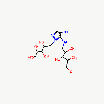 Nc1cnn(CC(O)C(O)C(O)CO)c1NCC(O)C(O)C(O)CO